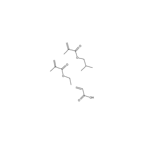 C=C(C)C(=O)OCC.C=C(C)C(=O)OCC(C)C.C=CC(=O)O